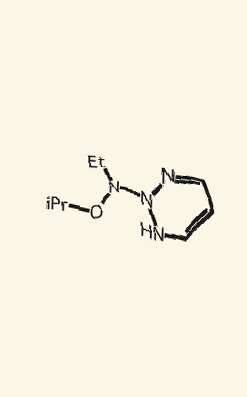 CCN(OC(C)C)N1N=CC=CN1